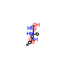 CC(CO)NC(=O)/C=C/c1[nH]c2ccc(NS(=O)(=O)c3ccc(C(C)(C)C)cc3)cc2c1-c1ccccc1